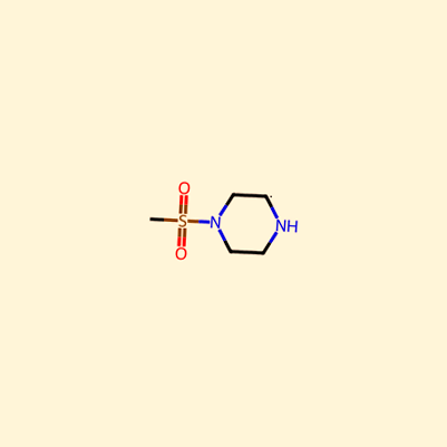 CS(=O)(=O)N1C[CH]NCC1